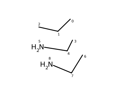 CCC.CCN.CCN